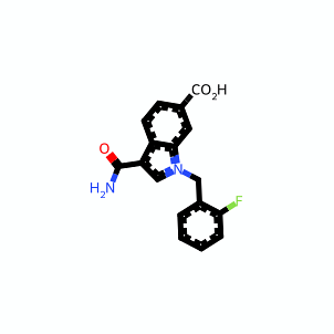 NC(=O)c1cn(Cc2ccccc2F)c2cc(C(=O)O)ccc12